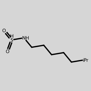 CC(C)CCCCCN[SH](=O)=O